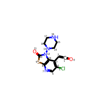 O=C=Cc1c(Cl)cnc2sc(=O)n(N3CCNCC3)c12